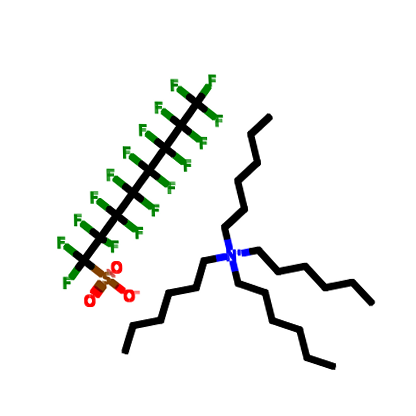 CCCCCC[N+](CCCCCC)(CCCCCC)CCCCCC.O=S(=O)([O-])C(F)(F)C(F)(F)C(F)(F)C(F)(F)C(F)(F)C(F)(F)C(F)(F)C(F)(F)F